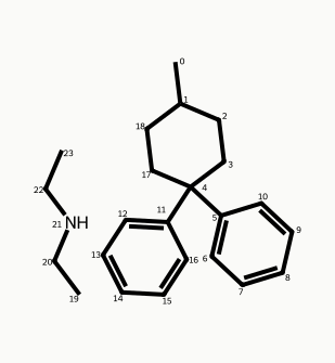 CC1CCC(c2ccccc2)(c2ccccc2)CC1.CCNCC